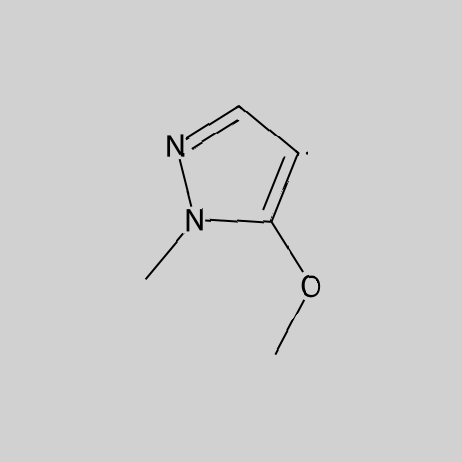 COc1[c]cnn1C